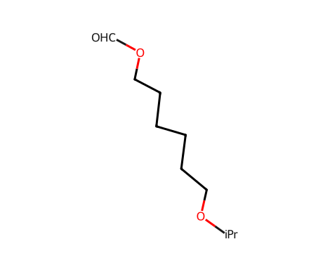 CC(C)OCCCCCCOC=O